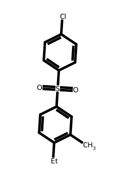 CCc1ccc(S(=O)(=O)c2ccc(Cl)cc2)cc1C